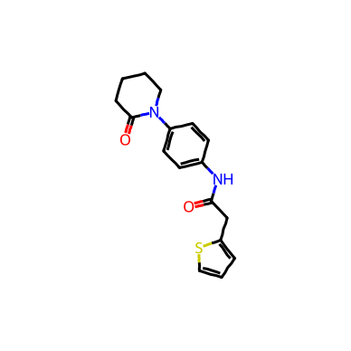 O=C(Cc1cccs1)Nc1ccc(N2CCCCC2=O)cc1